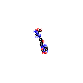 CC[C@H]1CC[C@@H](c2ncc(-c3ccc4c(c3)COc3cc5c(ccc6nc([C@@H]7C[C@@H]8CCC[C@@H]8N7C(=O)[C@@H](NC(=O)OC)C(C)C)[nH]c65)cc3-4)[nH]2)N1C[C@@H](NC(=O)OC)C1CCOCC1